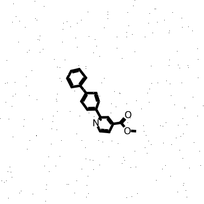 COC(=O)c1ccnc(-c2ccc(-c3ccccc3)cc2)c1